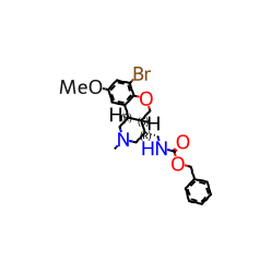 COc1cc(Br)c2c(c1)[C@@H]1CN(C)C[C@@H](CNC(=O)OCc3ccccc3)[C@H]1CO2